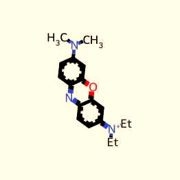 CC[N+](CC)=c1ccc2nc3ccc(N(C)C)cc3oc-2c1